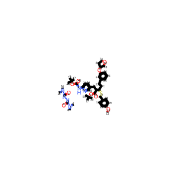 CN(C)C(=O)N=NC(=O)N(C)C.COc1ccc(CSC(CCc2cccc(OC3CCOC3)c2)C(Cc2ccc(NC(=O)OC(C)(C)C)nc2)C(=O)OC(C)(C)C)cc1